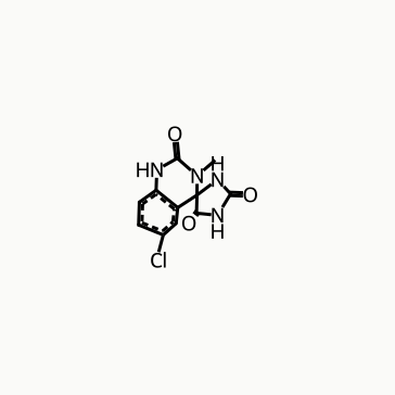 CN1C(=O)Nc2ccc(Cl)cc2C12NC(=O)NC2=O